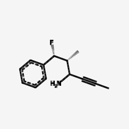 CC#CC(N)[C@@H](C)[C@@H](F)c1ccccc1